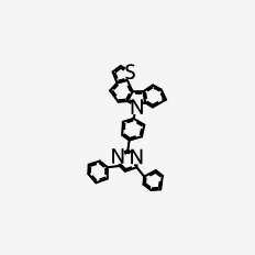 c1ccc(-c2cc(-c3ccccc3)nc(-c3ccc(-n4c5ccccc5c5c6sccc6ccc54)cc3)n2)cc1